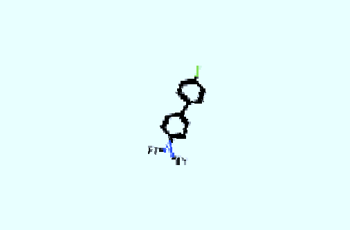 CCN(c1ccc(-c2ccc(F)cc2)cc1)C(C)C